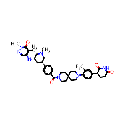 Cc1c(N[C@@H]2C[C@H](c3ccc(C(=O)N4CCC5(CC4)CCN(c4ccc(C6CCC(=O)NC6=O)cc4C(F)(F)F)CC5)cc3)CN(C)C2)cnn(C)c1=O